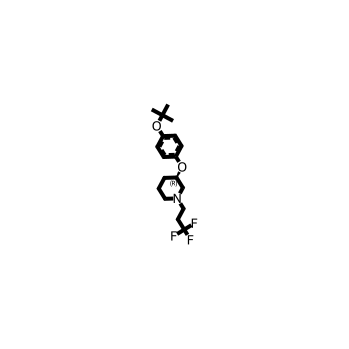 CC(C)(C)Oc1ccc(O[C@@H]2CCCN(CCC(F)(F)F)C2)cc1